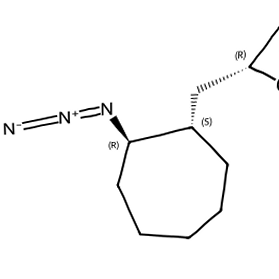 [N-]=[N+]=N[C@@H]1CCCCC[C@H]1C[C@@H]1CO1